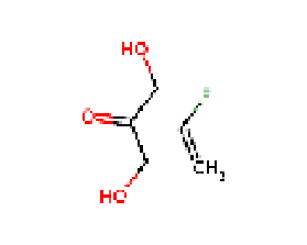 C=CF.O=C(CO)CO